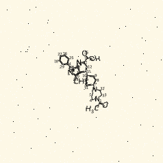 CC(=O)N1CCN(c2ccc(-c3cc(C(=O)O)nc4c3c(C)nn4-c3ccccc3)cc2)CC1